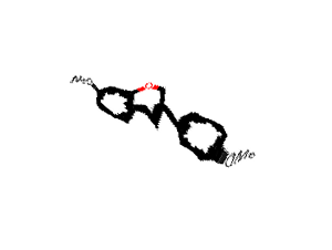 COc1ccc(C2COc3cc(OC)ccc3C2)cc1